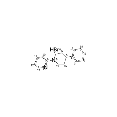 Br.c1ccc(C2CCN(c3ccccn3)CC2)cc1